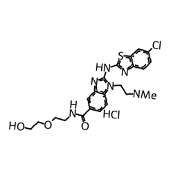 CNCCn1c(Nc2nc3ccc(Cl)cc3s2)nc2cc(C(=O)NCCOCCO)ccc21.Cl